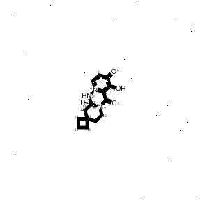 O=C1c2c(O)c(=O)ccn2N[C@@H]2CC3(CCC3)CCN12